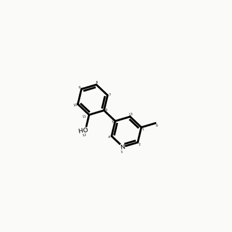 Cc1cncc(-c2ccccc2O)c1